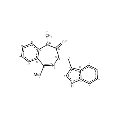 CSC1=N[C@@H](Cc2c[nH]c3ccccc23)C(=O)N(C)c2ccccc21